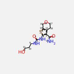 NC(=O)c1c(NC(=O)NCCCO)sc2c1CCOC2